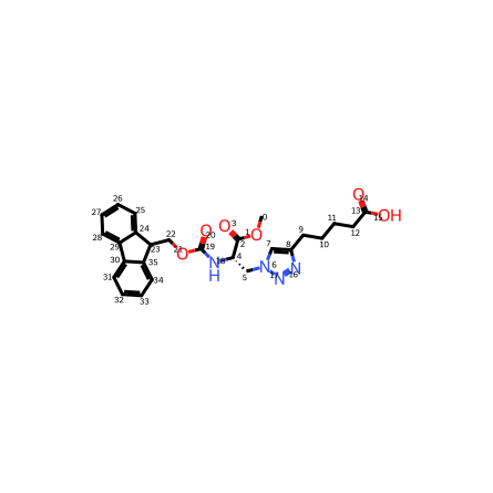 COC(=O)[C@H](Cn1cc(CCCCC(=O)O)nn1)NC(=O)OCC1c2ccccc2-c2ccccc21